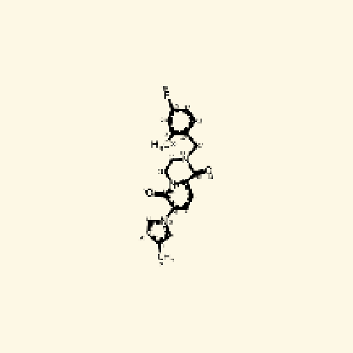 Cc1cn(-c2ccc3n(c2=O)CCN(Cc2ccc(F)cc2C)C3=O)cn1